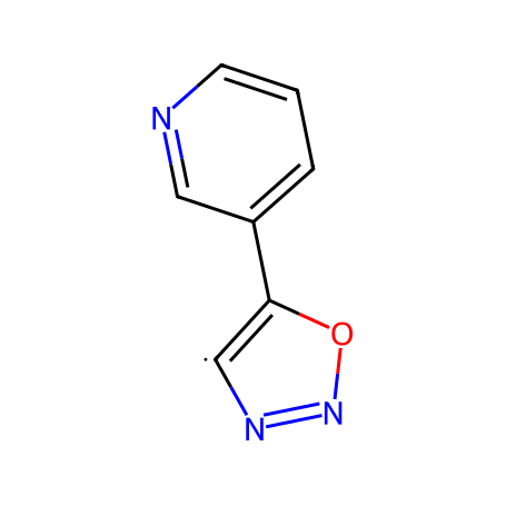 [c]1nnoc1-c1cccnc1